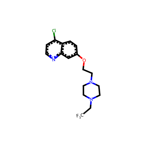 FC(F)(F)CN1CCN(CCOc2ccc3c(Cl)ccnc3c2)CC1